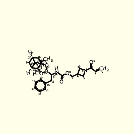 C=CC(=O)N1CC(COC(=O)N[C@@H](Cc2ccccc2)B2O[C@H]3[C@H]4C[C@@H](C[C@@]3(C)O2)C4(C)C)C1